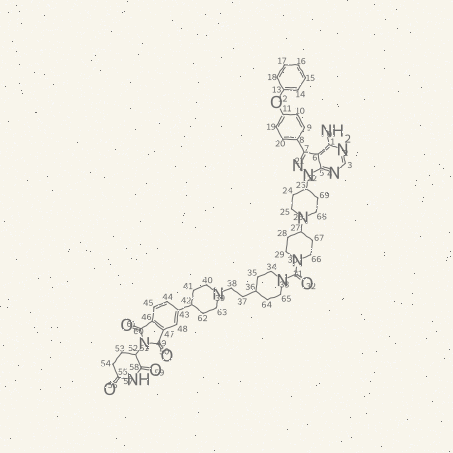 Nc1ncnc2c1c(-c1ccc(Oc3ccccc3)cc1)nn2C1CCN(C2CCN(C(=O)N3CCC(CCN4CCC(c5ccc6c(c5)C(=O)N(C5CCC(=O)NC5=O)C6=O)CC4)CC3)CC2)CC1